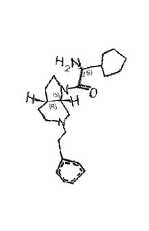 N[C@H](C(=O)N1CC[C@H]2CCN(CCc3ccccc3)C[C@H]21)C1CCCCC1